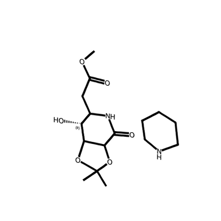 C1CCNCC1.COC(=O)CC1NC(=O)C2OC(C)(C)OC2[C@@H]1O